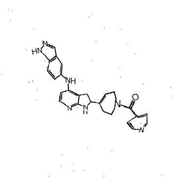 O=C(c1ccncc1)N1CC=C(C2Cc3c(Nc4ccc5[nH]ncc5c4)ccnc3N2)CC1